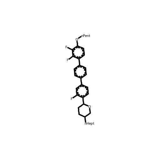 CCCCCCCC1CCC(c2ccc(-c3ccc(-c4ccc(OCCCCC)c(F)c4F)cc3)cc2F)OC1